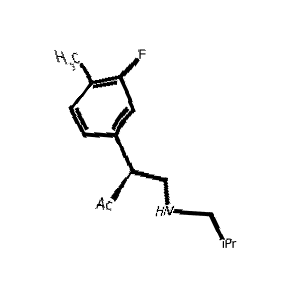 CC(=O)[C@H](CNCC(C)C)c1ccc(C)c(F)c1